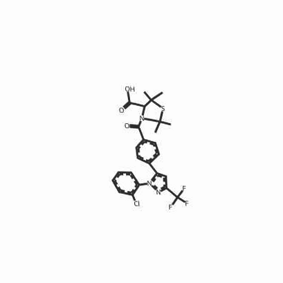 CC1(C)SC(C)(C)N(C(=O)c2ccc(-c3cc(C(F)(F)F)nn3-c3ccccc3Cl)cc2)C1C(=O)O